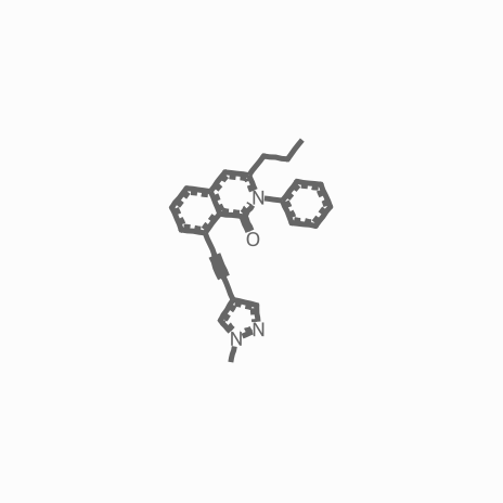 CCCc1cc2cccc(C#Cc3cnn(C)c3)c2c(=O)n1-c1ccccc1